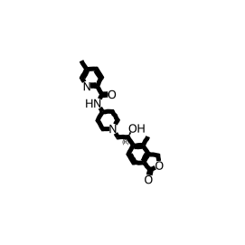 Cc1ccc(C(=O)NC2CCN(C[C@H](O)c3ccc4c(c3C)COC4=O)CC2)nc1